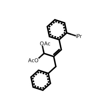 CC(=O)OC(OC(C)=O)C(=Cc1ccccc1C(C)C)Cc1ccccc1